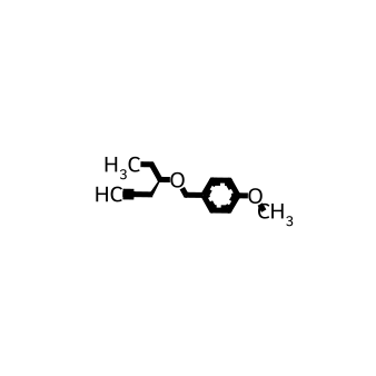 C#CC[C@@H](CC)OCc1ccc(OC)cc1